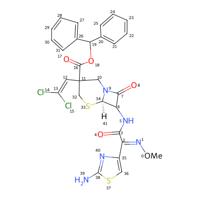 CON=C(C(=O)NC1C(=O)N2CC(C=C(Cl)Cl)(C(=O)OC(c3ccccc3)c3ccccc3)CS[C@H]12)c1csc(N)n1